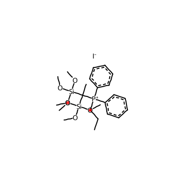 CCC[P+](c1ccccc1)(c1ccccc1)C(C)([Si](OC)(OC)OC)[Si](OC)(OC)OC.[I-]